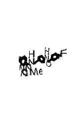 CNc1nc(NCc2ccc(NC(=O)c3ccc(F)cc3)cc2)c2ccccc2n1